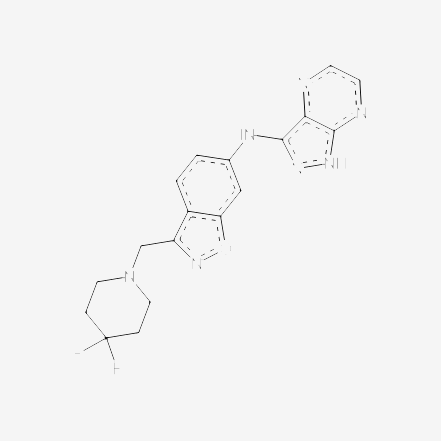 FC1(F)CCN(Cc2noc3cc(Nc4n[nH]c5nccnc45)ccc23)CC1